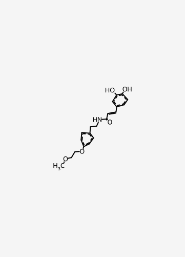 COCCOc1ccc(CCNC(=O)/C=C/c2ccc(O)c(O)c2)cc1